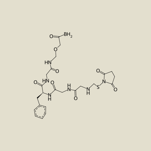 BC(=O)COCNC(=O)CNC(=O)[C@H](Cc1ccccc1)NC(=O)CNC(=O)CNCSN1C(=O)CCC1=O